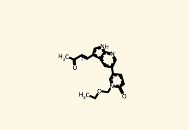 CCOCn1cc(-c2cnc3[nH]cc(/C=C/C(C)=O)c3c2)ccc1=O